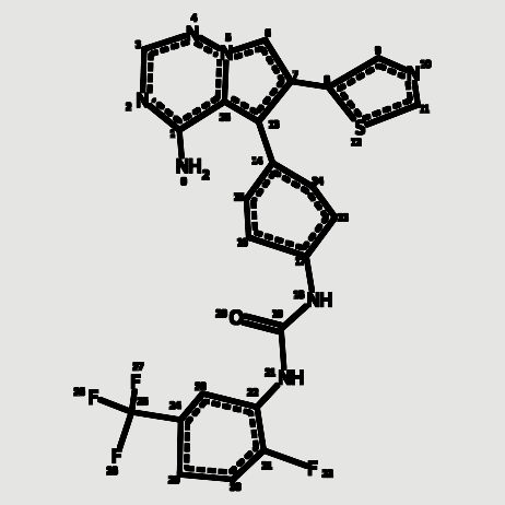 Nc1ncnn2cc(-c3cncs3)c(-c3ccc(NC(=O)Nc4cc(C(F)(F)F)ccc4F)cc3)c12